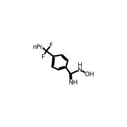 CCCC(F)(F)c1ccc(C(=N)NO)cc1